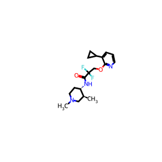 C[C@H]1CN(C)CC[C@@H]1NC(=O)C(F)(F)COc1ncccc1C1CC1